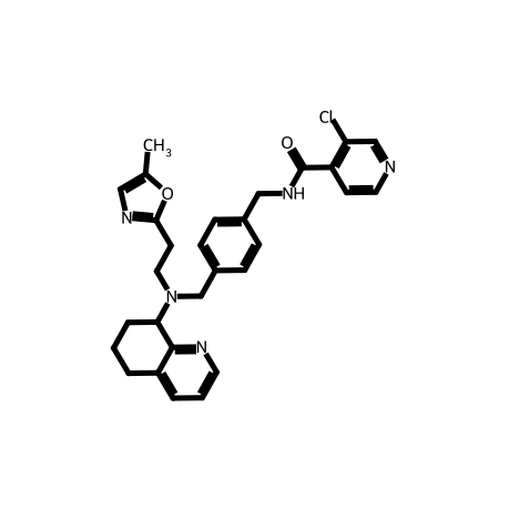 Cc1cnc(CCN(Cc2ccc(CNC(=O)c3ccncc3Cl)cc2)C2CCCc3cccnc32)o1